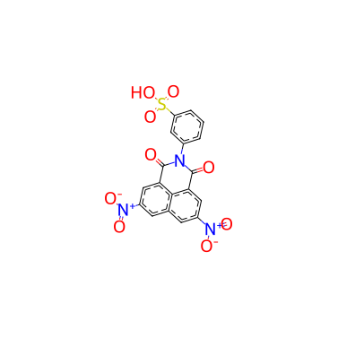 O=C1c2cc([N+](=O)[O-])cc3cc([N+](=O)[O-])cc(c23)C(=O)N1c1cccc(S(=O)(=O)O)c1